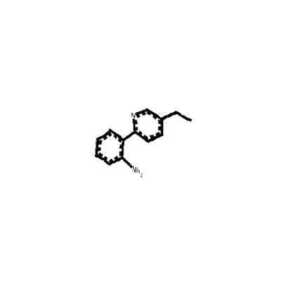 CCc1ccc(-c2ccccc2N)nc1